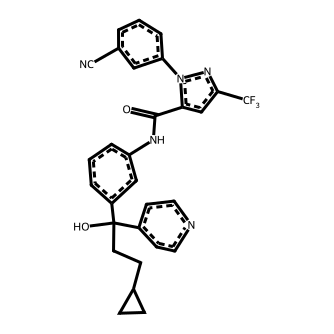 N#Cc1cccc(-n2nc(C(F)(F)F)cc2C(=O)Nc2cccc(C(O)(CCC3CC3)c3ccncc3)c2)c1